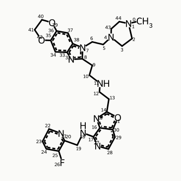 CN1CCN(CCn2c(CCNCCc3nc4c(NCc5ncccc5F)nccc4o3)nc3cc4c(cc32)OCCO4)CC1